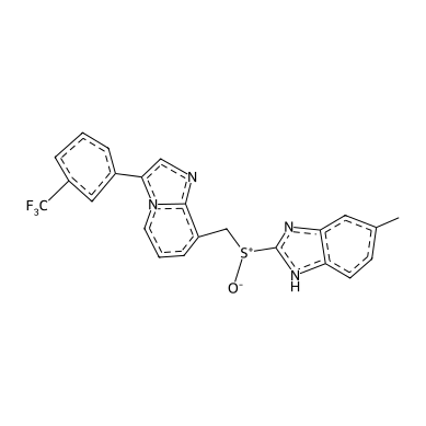 Cc1ccc2[nH]c([S+]([O-])Cc3cccn4c(-c5cccc(C(F)(F)F)c5)cnc34)nc2c1